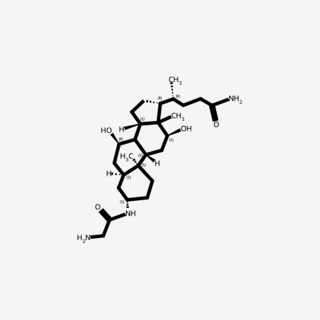 C[C@H](CCC(N)=O)[C@H]1CC[C@H]2C3[C@H](O)C[C@@H]4C[C@@H](NC(=O)CN)CC[C@]4(C)[C@H]3C[C@H](O)C12C